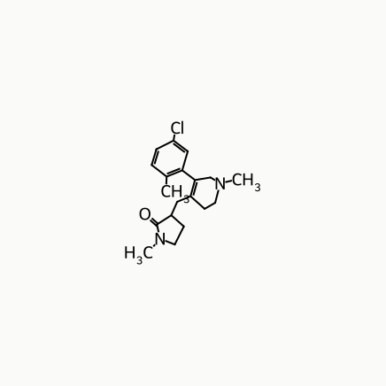 Cc1ccc(Cl)cc1C1=C(CC2CCN(C)C2=O)CCN(C)C1